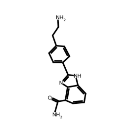 NCCc1ccc(-c2nc3c(C(N)=O)cccc3[nH]2)cc1